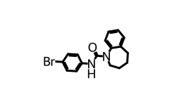 O=C(Nc1ccc(Br)cc1)N1CCCCc2ccccc21